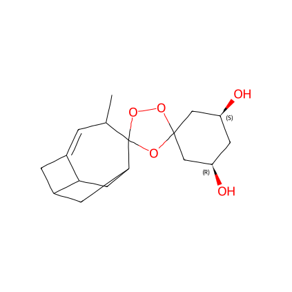 CC1C=C2CC3CC(CC23)C12OOC1(C[C@H](O)C[C@H](O)C1)O2